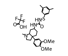 COc1ccc(C23CCC(NC(=O)NSc4cc(C)cc(C)c4)CC2N(C)CC3)cc1OC.O=C(O)C(F)(F)F